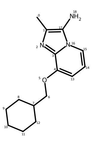 Cc1nc2c(OCC3CCCCC3)cccn2c1N